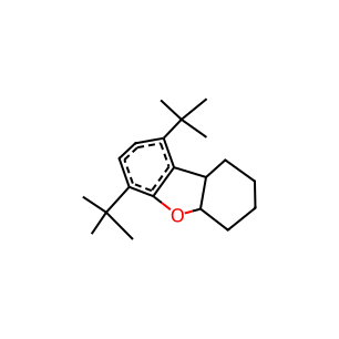 CC(C)(C)c1ccc(C(C)(C)C)c2c1OC1CCCCC21